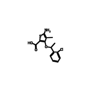 Cc1c(N)sc(C(=O)O)c1OC(C)c1ccccc1Cl